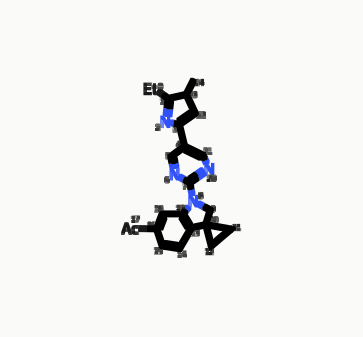 CCC1=NC(c2cnc(N3CC4(CC4)c4ccc(C(C)=O)cc43)nc2)=CC1C